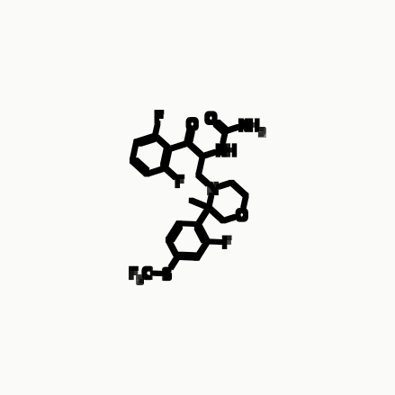 CC1(c2ccc(SC(F)(F)F)cc2F)COCCN1CC(NC(N)=O)C(=O)c1c(F)cccc1F